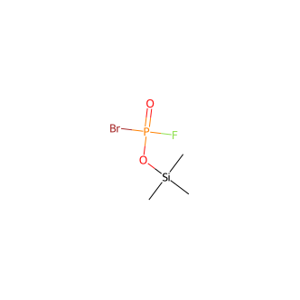 C[Si](C)(C)OP(=O)(F)Br